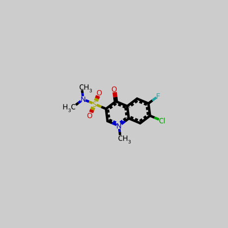 CN(C)S(=O)(=O)c1cn(C)c2cc(Cl)c(F)cc2c1=O